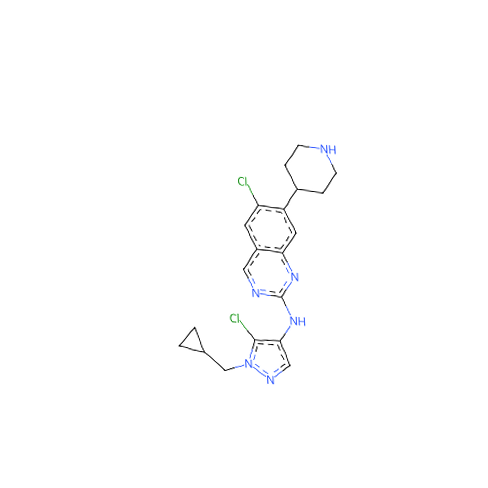 Clc1cc2cnc(Nc3cnn(CC4CC4)c3Cl)nc2cc1C1CCNCC1